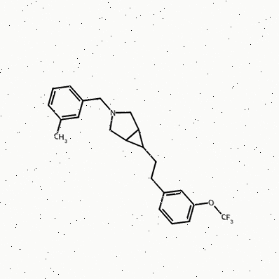 Cc1cccc(CN2CC3C(C[CH]c4cccc(OC(F)(F)F)c4)C3C2)c1